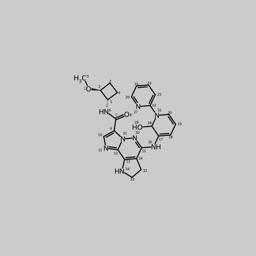 CO[C@H]1CC[C@@H]1NC(=O)c1cnc2c3c(c(NC4=CC=CN(c5ccccn5)C4O)nn12)CCN3